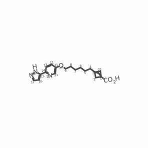 O=C(O)C12CC(CCCCCCOc3ccc(-c4ccn[nH]4)nc3)(C1)C2